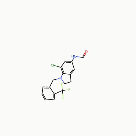 O=CNc1cc(Cl)c2c(c1)CCN2Cc1ccccc1C(F)(F)F